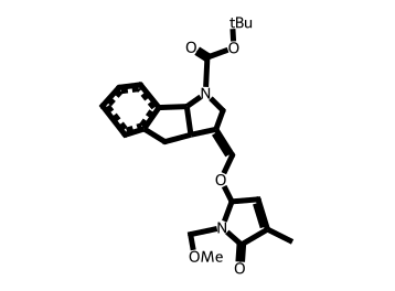 COCN1C(=O)C(C)=CC1O/C=C1/CN(C(=O)OC(C)(C)C)C2c3ccccc3CC12